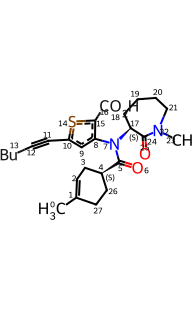 CC1=CC[C@@H](C(=O)N(c2cc(C#CC(C)(C)C)sc2C(=O)O)[C@H]2CCCCN(C)C2=O)CC1